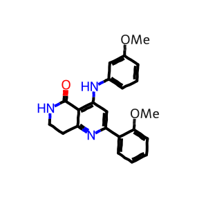 COc1cccc(Nc2cc(-c3ccccc3OC)nc3c2C(=O)NCC3)c1